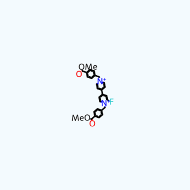 COC(=O)c1ccc(C[n+]2ccc(-c3cc[n+](Cc4ccc(C(=O)OC)cc4)c(F)c3)cc2)cc1